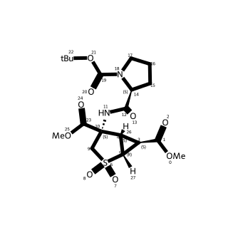 COC(=O)[C@@H]1[C@@H]2[C@H]1S(=O)(=O)C[C@@]2(NC(=O)[C@@H]1CCCN1C(=O)OC(C)(C)C)C(=O)OC